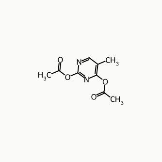 CC(=O)Oc1ncc(C)c(OC(C)=O)n1